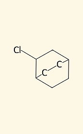 ClC1CC2CCC1CC2